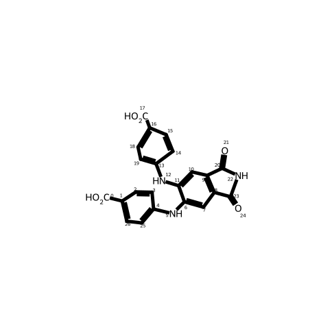 O=C(O)c1ccc(Nc2cc3c(cc2Nc2ccc(C(=O)O)cc2)C(=O)NC3=O)cc1